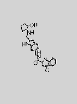 O=C(NCc1ccc2cc(CN[C@@H]3CCC[C@@H]3O)[nH]c2c1)c1cc(=O)n2ccccc2n1